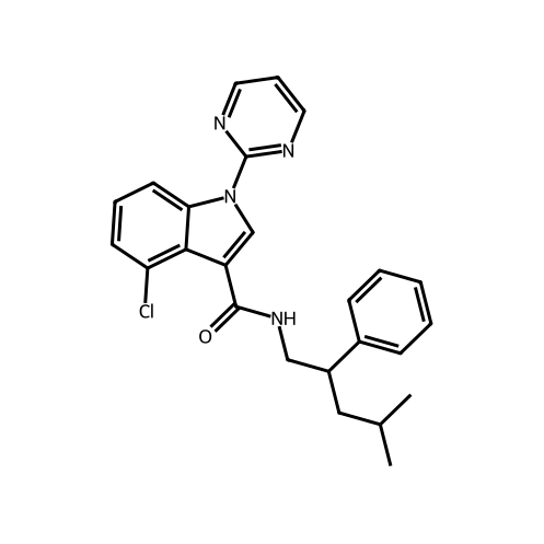 CC(C)CC(CNC(=O)c1cn(-c2ncccn2)c2cccc(Cl)c12)c1ccccc1